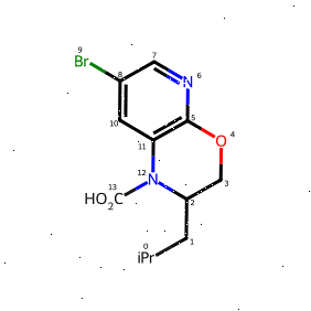 CC(C)CC1COc2ncc(Br)cc2N1C(=O)O